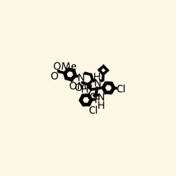 COC(=O)c1ccc(N2CC[C@H]3[C@@H](C2=O)[C@H](c2cccc(Cl)c2F)[C@]2(C(=O)Nc4cc(Cl)ccc42)N3CC2CCC2)c(OC)c1